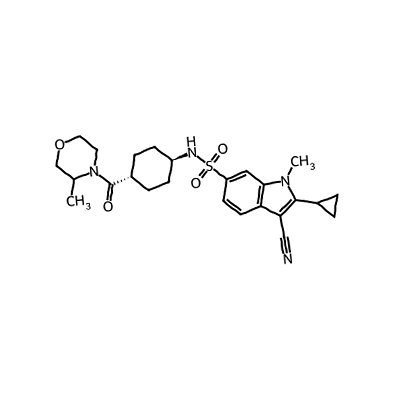 CC1COCCN1C(=O)[C@H]1CC[C@H](NS(=O)(=O)c2ccc3c(C#N)c(C4CC4)n(C)c3c2)CC1